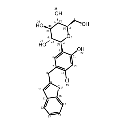 OC[C@H]1O[C@@H](c2cc(Cc3cc4ccccc4s3)c(Cl)cc2O)[C@H](O)[C@@H](O)[C@@H]1O